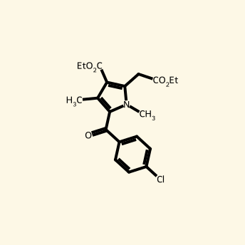 CCOC(=O)Cc1c(C(=O)OCC)c(C)c(C(=O)c2ccc(Cl)cc2)n1C